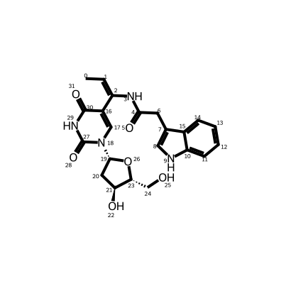 CC=C(NC(=O)Cc1c[nH]c2ccccc12)c1cn([C@H]2C[C@H](O)[C@@H](CO)O2)c(=O)[nH]c1=O